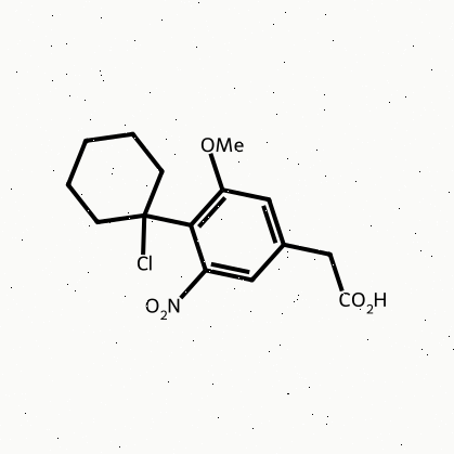 COc1cc(CC(=O)O)cc([N+](=O)[O-])c1C1(Cl)CCCCC1